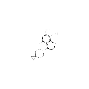 O=[N+]([O-])c1cc(Cl)c2c(N3CCC4(CC3)CC4)ccnc2c1O